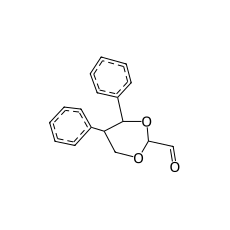 O=CC1OCC(c2ccccc2)C(c2ccccc2)O1